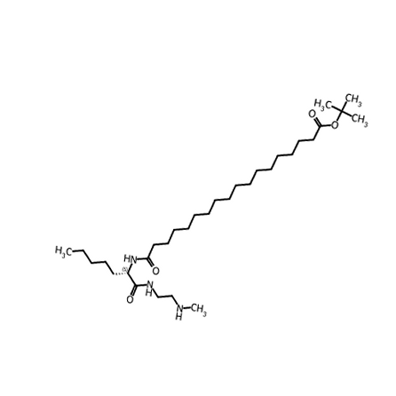 CCCCC[C@H](NC(=O)CCCCCCCCCCCCCCCCC(=O)OC(C)(C)C)C(=O)NCCNC